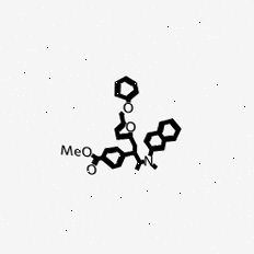 COC(=O)c1ccc(C(Cc2ccc(COc3ccccc3)o2)C(C)N(C)c2ccc3ccccc3c2)cc1